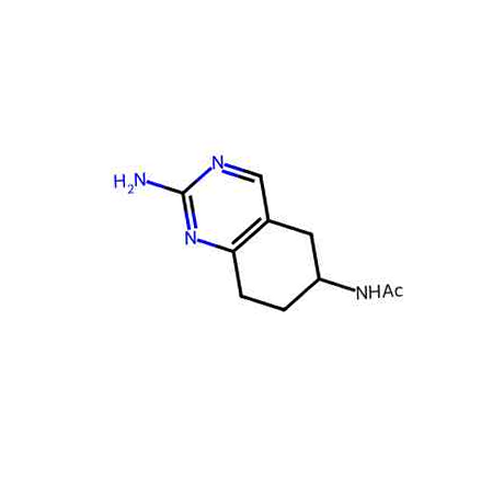 CC(=O)NC1CCc2nc(N)ncc2C1